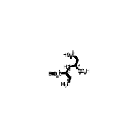 CC=C(N[C@@H](CC(=O)O)C(=O)O)C(=O)OCC